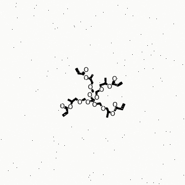 C=CC(=O)OC(C)COCOC(OCOCC(C)OC(=O)C=C)(OCOCC(C)OC(=O)C=C)OCOCC(C)OC(=O)C=C